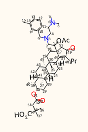 CC(=O)O[C@H](CN(CCN(C)C)Cc1cccc(C)c1)[C@@]12CC[C@]3(C)[C@H](CC[C@@H]4[C@@]5(C)CC[C@H](OC(=O)CC(C)(C)C(=O)O)[C@H](C)[C@@H]5CC[C@]43C)C1=C(C(C)C)C(=O)C2